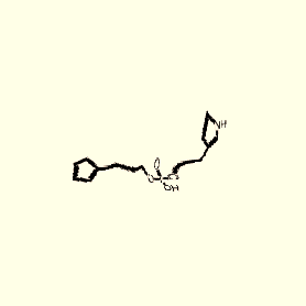 O=P(O)(OCCCC1=CC=CC1)OCCc1cc[nH]c1